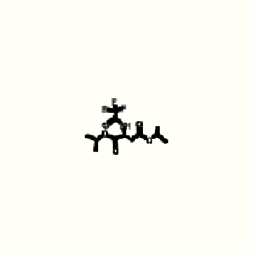 CC(C)OC(=O)C[C@H](NC(=O)C(F)(F)F)C(=O)OC(C)C